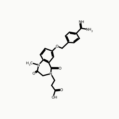 CN1C(=O)CN(CCC(=O)O)C(=O)c2cc(OCc3ccc(C(=N)N)cc3)ccc21